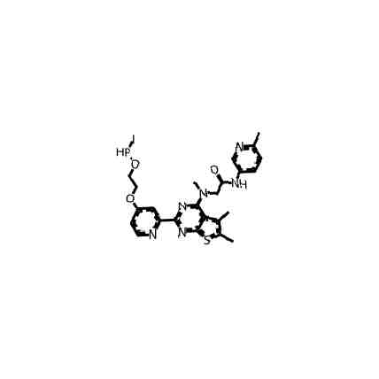 Cc1ccc(NC(=O)CN(C)c2nc(-c3cc(OCCOPI)ccn3)nc3sc(C)c(C)c23)cn1